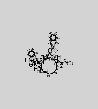 CC(C)(C)OC(=O)N[C@H]1CCCCC/C=C/[C@@H]2C[C@@]2(C(=O)NS(=O)(=O)Nc2ccccc2)NC(=O)[C@@H]2C[C@@H](OC(=O)N3Cc4ccccc4C3)CN2C1=O